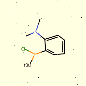 CN(C)c1ccccc1P(Cl)C(C)(C)C